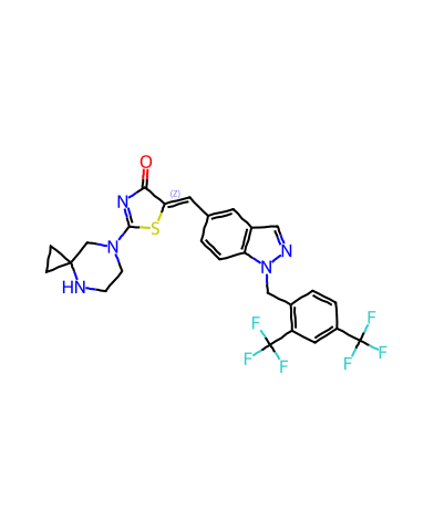 O=C1N=C(N2CCNC3(CC3)C2)S/C1=C\c1ccc2c(cnn2Cc2ccc(C(F)(F)F)cc2C(F)(F)F)c1